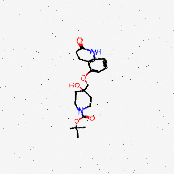 CC(C)(C)OC(=O)N1CCC(O)(COc2cccc3c2CCC(=O)N3)CC1